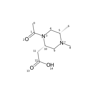 CC(=O)N1C[C@H](C)N(C)C[C@@H]1CC(=O)O